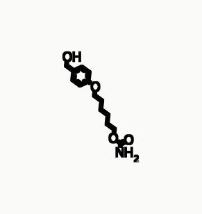 NC(=O)OCCCCCCOc1ccc(CO)cc1